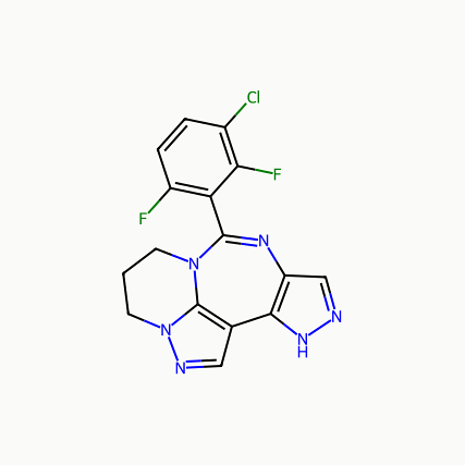 Fc1ccc(Cl)c(F)c1C1=Nc2cn[nH]c2-c2cnn3c2N1CCC3